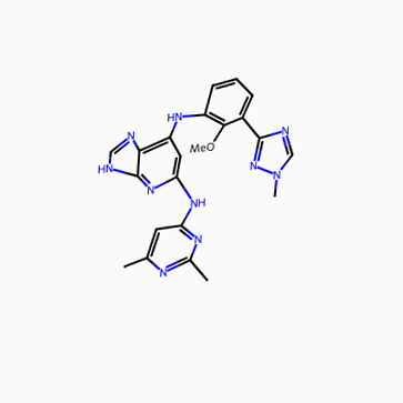 COc1c(Nc2cc(Nc3cc(C)nc(C)n3)nc3[nH]cnc23)cccc1-c1ncn(C)n1